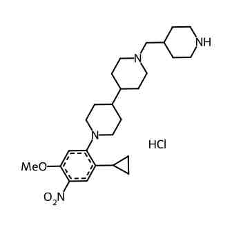 COc1cc(N2CCC(C3CCN(CC4CCNCC4)CC3)CC2)c(C2CC2)cc1[N+](=O)[O-].Cl